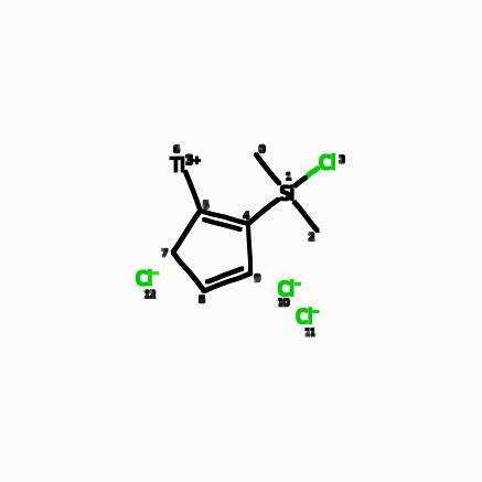 C[Si](C)(Cl)C1=[C]([Ti+3])CC=C1.[Cl-].[Cl-].[Cl-]